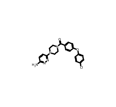 Nc1ccc(N2CCN(C(=O)c3ccc(Oc4ccc(Cl)cc4)cc3)CC2)nn1